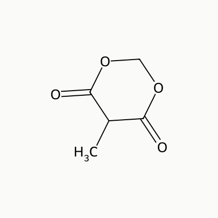 CC1C(=O)OCOC1=O